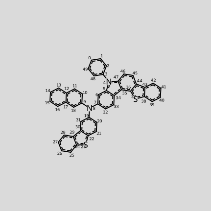 c1ccc(-n2c3cc(N(c4ccc5ccccc5c4)c4ccc5sc6ccccc6c5c4)ccc3c3c4sc5ccccc5c4ccc32)cc1